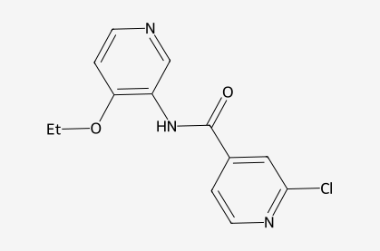 CCOc1ccncc1NC(=O)c1ccnc(Cl)c1